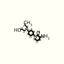 CCCN(CCO)c1ccc(-n2cccc(N)c2=O)cc1